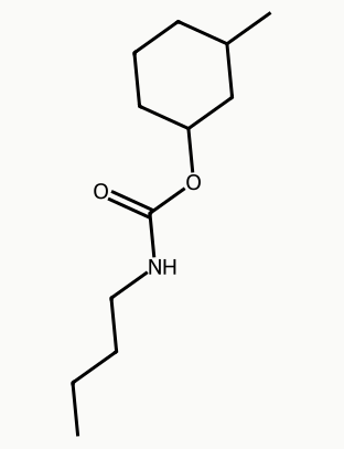 CCCCNC(=O)OC1CCCC(C)C1